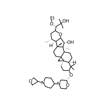 CCO[C@@H](C1C[C@@H](C)[C@H]2C(O1)[C@H](O)[C@@]1(C)C3CC[C@H]4C(C)(C)[C@@H](O[C@H]5CN(C6CCN(C7COC7)CC6)CCO5)CC[C@@]45C[C@@]35CC[C@]21C)C(C)(C)O